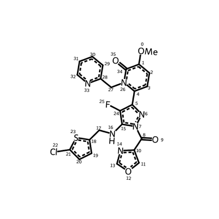 COc1ccc(-c2nn(C(=O)c3cocn3)c(NCc3ccc(Cl)s3)c2F)n(Cc2ccccn2)c1=O